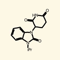 CC(C)n1c(=O)n(C2CCC(=O)NC2=O)c2ccccc21